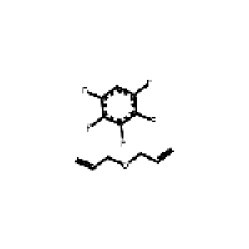 C=CCOCC=C.Fc1cc(F)c(F)c(F)c1F